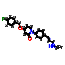 CC(C)NC/C=C/c1ccc(-n2ccc(OCc3ccc(F)cc3)cc2=O)cc1